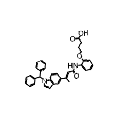 CC(=CC(=O)Nc1ccccc1OCCCC(=O)O)c1ccc2c(ccn2C(c2ccccc2)c2ccccc2)c1